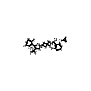 O=C(c1c(F)cccc1OC1CC1)N1CC2(CC(n3cc(C(F)(F)F)c(-c4ccccc4F)n3)C2)C1